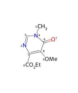 CCOC(=O)c1ncn(C)c(=O)c1OC